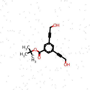 CC(C)(C)OC(=O)c1cc(C#CCO)cc(C#CCO)c1